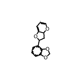 [C]1=COC2CC(c3cccc4c3OCO4)OC2=C1